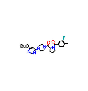 Cc1ccc(C(=O)N2CCCC2C(=O)N2CCN(c3cc(OCC(C)C)ncn3)CC2)cc1F